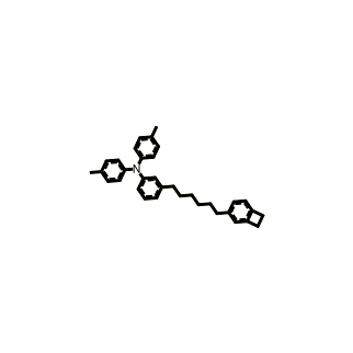 Cc1ccc(N(c2ccc(C)cc2)c2cccc(CCCCCCc3ccc4c(c3)CC4)c2)cc1